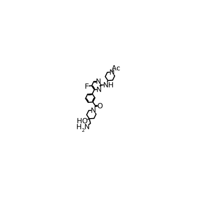 CC(=O)N1CCC(Nc2ncc(F)c(-c3cccc(C(=O)N4CCC(O)(CN)CC4)c3)n2)CC1